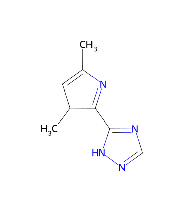 CC1=CC(C)C(c2ncn[nH]2)=N1